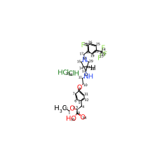 CCO[C@@H](Cc1ccc(OCCN[C@H]2C3CN(Cc4cc(C(F)(F)F)ccc4F)C[C@@H]32)cc1)C(=O)O.Cl.Cl